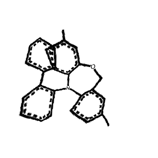 Cc1ccc2c(c1)COc1cc(C)ccc1N2c1ccccc1-c1ccccc1